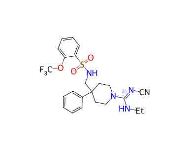 CCN/C(=N\C#N)N1CCC(CNS(=O)(=O)c2ccccc2OC(F)(F)F)(c2ccccc2)CC1